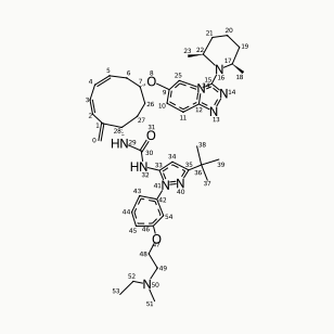 C=C1/C=C\C=C/C[C@H](Oc2ccc3nnc(N4[C@H](C)CCC[C@@H]4C)n3c2)CC[C@@H]1NC(=O)Nc1cc(C(C)(C)C)nn1-c1cccc(OCCN(C)CC)c1